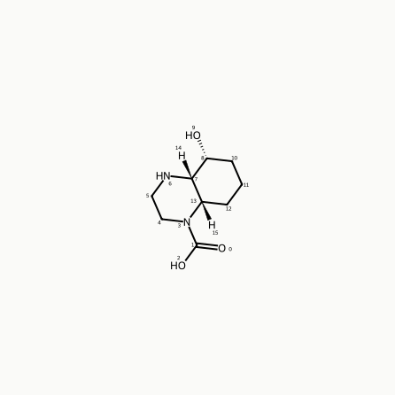 O=C(O)N1CCN[C@@H]2[C@H](O)CCC[C@@H]21